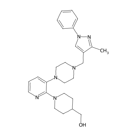 Cc1nn(-c2ccccc2)cc1CN1CCN(c2cccnc2N2CCC(CO)CC2)CC1